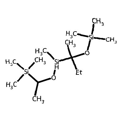 CCC(C)(O[Si](C)(C)C)[SiH](C)OC(C)[Si](C)(C)C